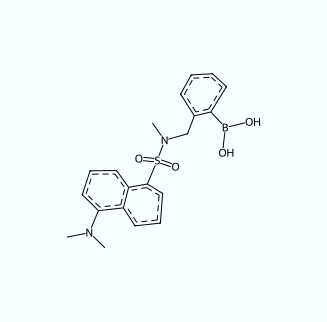 CN(C)c1cccc2c(S(=O)(=O)N(C)Cc3ccccc3B(O)O)cccc12